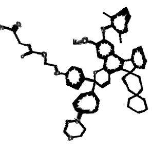 COc1cc2c3c(c4c(c2cc1Sc1c(C)cccc1C)-c1ccccc1C41CCC2(CCCCC2)CC1)C=CC(c1ccc(OCCOC(=O)CCC(=O)C(C)C)cc1)(c1ccc(N2CCOCC2)cc1)O3